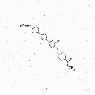 CCCCCC1CCC(c2ccc(-c3ccc(CCC4CCC(/C(F)=C/C(F)(F)F)CC4)c(F)c3)cc2)CC1